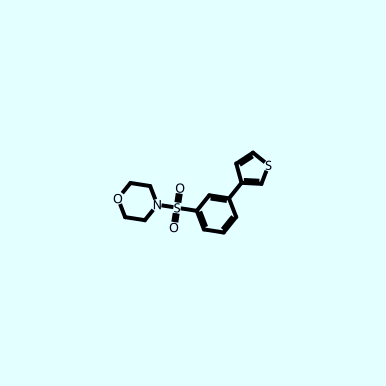 O=S(=O)(c1cccc(-c2ccsc2)c1)N1CCOCC1